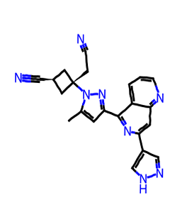 Cc1cc(-c2nc(-c3cn[nH]c3)cc3ncccc23)nn1[C@]1(CC#N)C[C@@H](C#N)C1